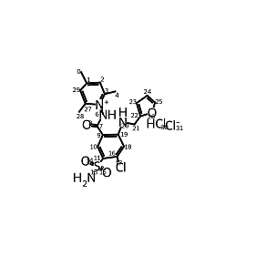 Cc1cc(C)[n+](NC(=O)c2cc(S(N)(=O)=O)c(Cl)cc2NCc2ccco2)c(C)c1.Cl.[Cl-]